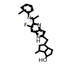 C/C(=N\c1ccccc1C)c1nc2cc(CC3CC(C)C4C(O)CCC34)[nH]c2cc1F